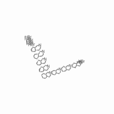 Br.Br.Br.Br.Br.Br.Br.Br.c1ccc2cnccc2c1.c1ccc2cnccc2c1.c1ccc2cnccc2c1.c1ccc2cnccc2c1.c1ccc2cnccc2c1.c1ccc2cnccc2c1.c1ccc2cnccc2c1.c1ccc2cnccc2c1